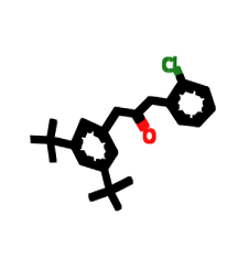 CC(C)(C)c1cc(CC(=O)Cc2ccccc2Cl)cc(C(C)(C)C)c1